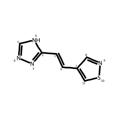 C(=C\c1nnc[nH]1)/c1cnsc1